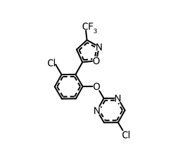 FC(F)(F)c1cc(-c2c(Cl)cccc2Oc2ncc(Cl)cn2)on1